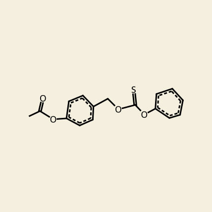 CC(=O)Oc1ccc(COC(=S)Oc2ccccc2)cc1